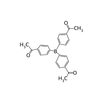 CC(=O)c1ccc(B(c2ccc(C(C)=O)cc2)c2ccc(C(C)=O)cc2)cc1